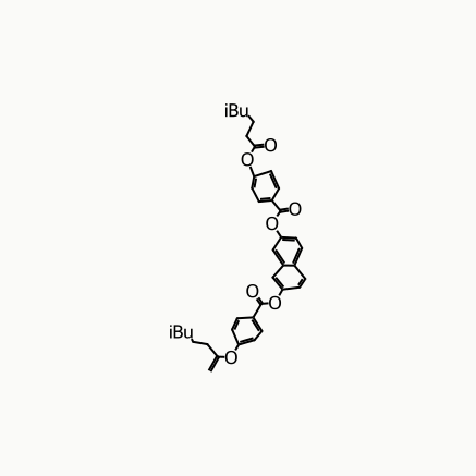 C=C(CCC(C)CC)Oc1ccc(C(=O)Oc2ccc3ccc(OC(=O)c4ccc(OC(=O)CCC(C)CC)cc4)cc3c2)cc1